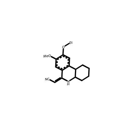 CCOc1cc2c(cc1OC)/C(=C\C#N)NC1CCCCC21